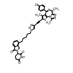 Cc1c(C#Cc2cn(CCCCCc3cccc4c3CN(C3CCC(=O)NC3=O)C4=O)nn2)sc2c1C(c1ccc(Cl)cc1)=N[C@@H](C)c1nnc(C)n1-2